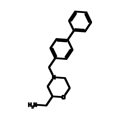 NCC1CN(Cc2ccc(-c3ccccc3)cc2)CCO1